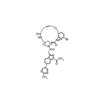 CC(=O)c1nn(CC(=O)N2C3CC34CNC(=O)CCC=CCOCc3ccc(Br)nc3NC(=O)[C@@H]2C4)c2ccc(-c3cnc(C)nc3)cc12